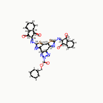 O=C(OCc1ccccc1)n1nc2c(n1)c1nc(N=c3c(=O)c4ccccc4c3=O)sc1c1sc(N=c3c(=O)c4ccccc4c3=O)nc21